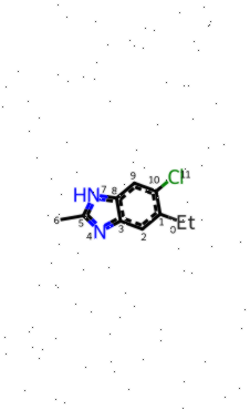 CCc1cc2nc(C)[nH]c2cc1Cl